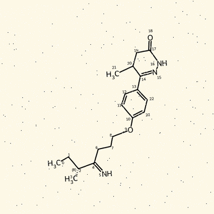 CC[C@@H](C)C(=N)CCCOc1ccc(C2=NNC(=O)CC2C)cc1